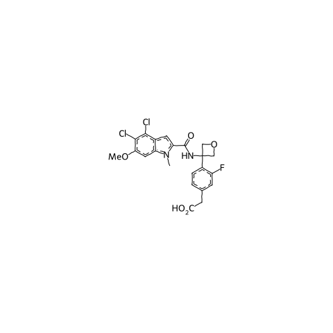 COc1cc2c(cc(C(=O)NC3(c4ccc(CC(=O)O)cc4F)COC3)n2C)c(Cl)c1Cl